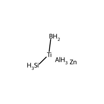 [AlH3].[BH2][Ti][SiH3].[Zn]